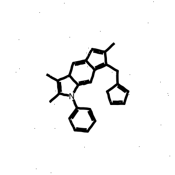 CC1=CC2=CC3C(=CC2=C1CC1=CC=CC1)N(c1ccccc1)C(C)=C3C